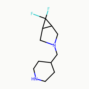 FC1(F)C2CN(CC3CCNCC3)CC21